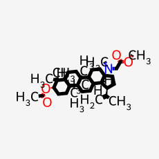 C=C(C)[C@@H]1CC[C@]2(N(C)CC(=O)OC)CC[C@]3(C)[C@H](CCC4C5(C)CC[C@H](OC(C)=O)C(C)(C)[C@@H]5CC[C@]43C)[C@@H]12